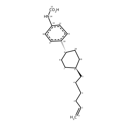 C=CCCCC[C@H]1CC[C@H](c2ccc(NC(=O)O)cc2)CC1